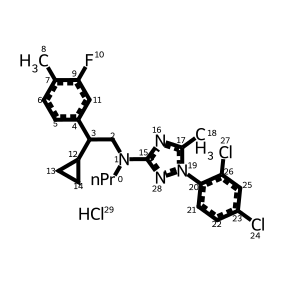 CCCN(CC(c1ccc(C)c(F)c1)C1CC1)c1nc(C)n(-c2ccc(Cl)cc2Cl)n1.Cl